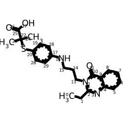 CCc1nc2ccccc2c(=O)n1CCCNc1ccc(SC(C)(C)C(=O)O)cc1